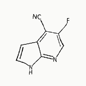 N#Cc1c(F)cnc2[nH]ccc12